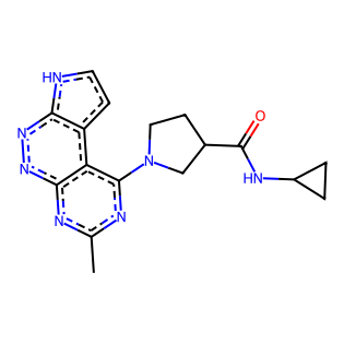 Cc1nc(N2CCC(C(=O)NC3CC3)C2)c2c(nnc3[nH]ccc32)n1